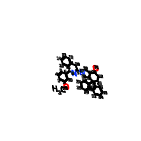 COc1cccc(CN=C(Cc2ccccc2)N2CC3C(=O)CCC(c4ccccc4)(c4ccccc4)C3C2)c1